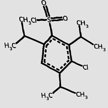 CC(C)c1cc(C(C)C)c(S(=O)(=O)Cl)c(C(C)C)c1Cl